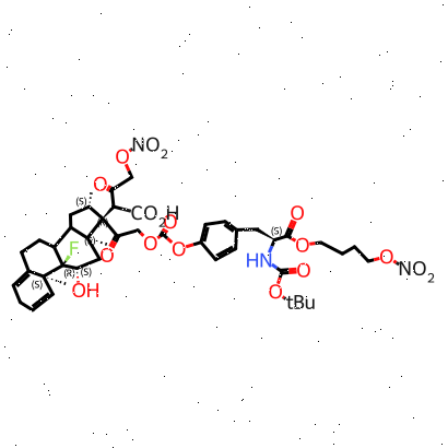 C[C@H]1CC2C3CCC4=CCC=C[C@]4(C)[C@@]3(F)[C@@H](O)C[C@]2(C)[C@]1(C(=O)COC(=O)Oc1ccc(C[C@H](NC(=O)OC(C)(C)C)C(=O)OCCCCO[N+](=O)[O-])cc1)C(C(=O)O)C(=O)CO[N+](=O)[O-]